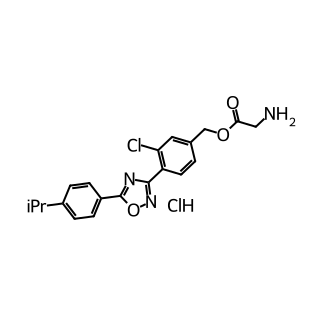 CC(C)c1ccc(-c2nc(-c3ccc(COC(=O)CN)cc3Cl)no2)cc1.Cl